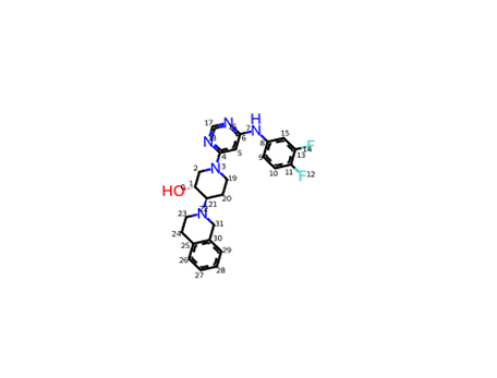 O[C@@H]1CN(c2cc(Nc3ccc(F)c(F)c3)ncn2)CC[C@H]1N1CCc2ccccc2C1